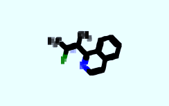 C/C(F)=C(\C)c1nccc2ccccc12